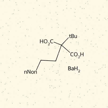 CCCCCCCCCCCC(C(=O)O)(C(=O)O)C(C)(C)C.[BaH2]